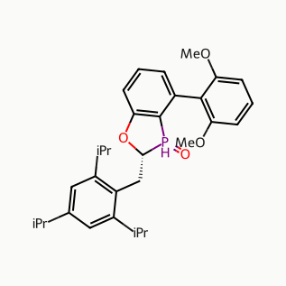 COc1cccc(OC)c1-c1cccc2c1[PH](=O)[C@H](Cc1c(C(C)C)cc(C(C)C)cc1C(C)C)O2